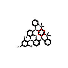 CC(C)c1cc(C(C)C)c(B2c3cccc(N4c5ccccc5[Si](C)(C)c5ccccc54)c3Sc3c2cccc3N2c3ccccc3[Si](C)(C)c3ccccc32)c(C(C)C)c1